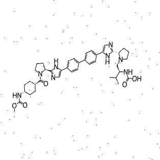 COC(=O)N[C@H]1CC[C@H](C(=O)N2CCC[C@H]2c2ncc(-c3ccc(-c4ccc(-c5cnc([C@@H]6CCCN6C[C@@H](NC(=O)O)C(C)C)[nH]5)cc4)cc3)[nH]2)CC1